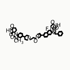 Cn1c(=O)n(C2CCC(=O)NC2=O)c2ccc(C3CCN(CCC(=O)N4CC=C(c5ccc6cc(OCc7ccccc7)c(N7CC(=O)NS7(=O)=O)c(F)c6c5)C4)CC3)cc21